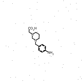 Nc1ccc(CN2CCCN(CC(=O)O)C2)cc1